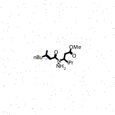 CCCC/C(C)=C/C(=O)N(N)C(CC(=O)OC)C(C)C